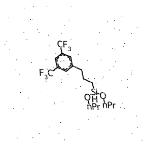 CCCO[SiH](CCCc1cc(C(F)(F)F)cc(C(F)(F)F)c1)OCCC